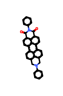 O=C1c2ccc3c4ccc5c6c(ccc(c7ccc(c2c37)C(=O)N1c1ccccc1)c64)CN(c1ccccc1)C5